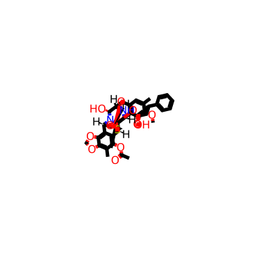 COc1c(C)cc2c(c1O)[C@@H]1N[C@@H](C2)[C@H](O)N2C1[C@@H]1SC[C@H](OC(=O)/C=C/c3ccccc3)C(=O)OC[C@H]2c2c3c(c(C)c(OC(C)=O)c21)OCO3